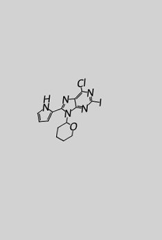 Clc1nc(I)nc2c1nc(-c1ccc[nH]1)n2C1CCCCO1